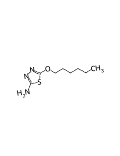 CCCCCCOc1nnc(N)s1